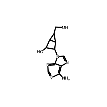 Nc1ncnc2c1ncn2C1C(O)C2C(CO)C21